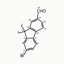 CC1(C)c2cc(Br)ccc2-c2ccc(C=O)cc21